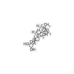 C=C1/C(=C\C=C2/CCC[C@]3(C)[C@@H]([C@H](C)/C=C/[C@@H](O)C(C)(C)C(=O)N(CC)CC)CC[C@@H]23)C[C@@H](O)C[C@@H]1O